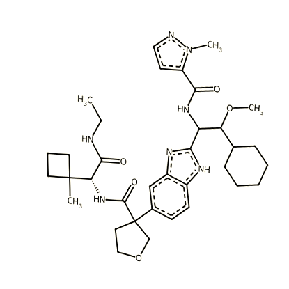 CCNC(=O)[C@H](NC(=O)C1(c2ccc3[nH]c(C(NC(=O)c4ccnn4C)C(OC)C4CCCCC4)nc3c2)CCOC1)C1(C)CCC1